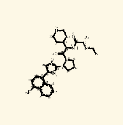 CCN[C@@H](C)C(=O)NC(C(=O)N1CCC[C@H]1c1nc(-c2ccc(F)c3ccccc23)cs1)C1CCOCC1